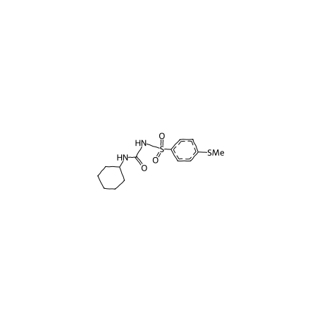 CSc1ccc(S(=O)(=O)NC(=O)NC2CCCCC2)cc1